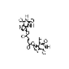 O=C(/C=C/C(=O)On1cnc2c(=O)[nH]c(=O)[nH]c21)On1cnc2c(=O)[nH]c(=O)[nH]c21